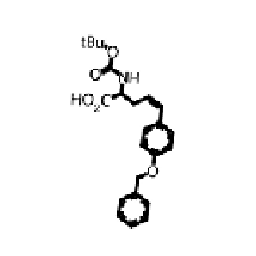 CC(C)(C)OC(=O)NC(C/C=C\c1ccc(OCc2ccccc2)cc1)C(=O)O